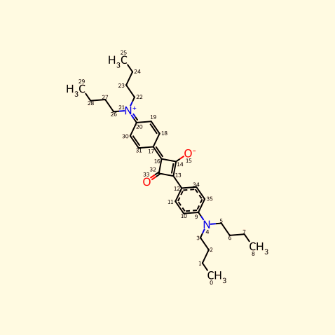 CCCCN(CCCC)c1ccc(C2=C([O-])C(=C3C=CC(=[N+](CCCC)CCCC)C=C3)C2=O)cc1